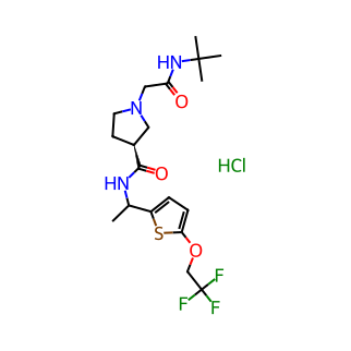 CC(NC(=O)[C@H]1CCN(CC(=O)NC(C)(C)C)C1)c1ccc(OCC(F)(F)F)s1.Cl